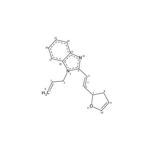 C=CCn1c(/C=C/C2CC=CO2)nc2ccccc21